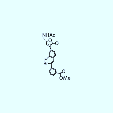 COC(=O)c1cccc(C(Br)=Cc2ccc(N3C[C@H](CNC(C)=O)OC3=O)cc2F)c1